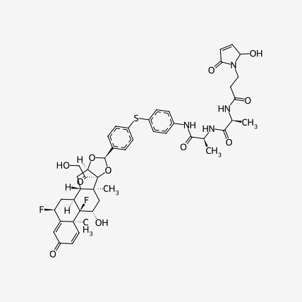 C[C@H](NC(=O)CCN1C(=O)C=CC1O)C(=O)N[C@@H](C)C(=O)Nc1ccc(Sc2ccc([C@@H]3O[C@@H]4C[C@H]5[C@@H]6C[C@H](F)C7=CC(=O)C=C[C@]7(C)[C@@]6(F)[C@@H](O)C[C@]5(C)[C@]4(C(=O)CO)O3)cc2)cc1